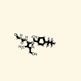 Cc1c(CO)nn(C(C)c2ccc(C(F)(F)C(F)(F)F)cc2)c1NC(=O)NC=O